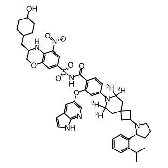 [2H]C1([2H])CC2(CC(N3CCC[C@H]3c3ccccc3C(C)C)C2)CC([2H])([2H])N1c1ccc(C(=O)NS(=O)(=O)c2cc3c(c([N+](=O)[O-])c2)N[C@H](CC2CCC(O)CC2)CO3)c(Oc2cnc3[nH]ccc3c2)c1